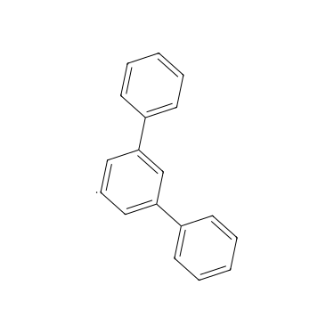 [c]1cc(-c2ccccc2)cc(-c2ccccc2)c1